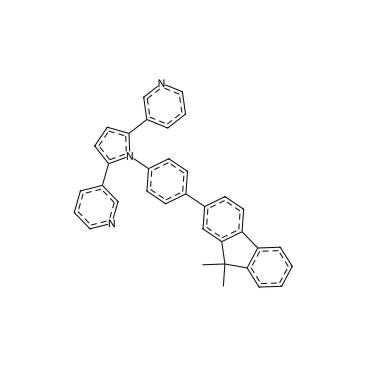 CC1(C)c2ccccc2-c2ccc(-c3ccc(-n4c(-c5cccnc5)ccc4-c4cccnc4)cc3)cc21